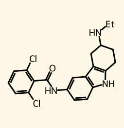 CCNC1CCc2[nH]c3ccc(NC(=O)c4c(Cl)cccc4Cl)cc3c2C1